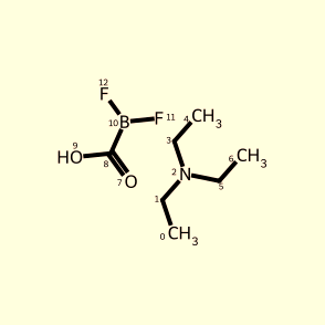 CCN(CC)CC.O=C(O)B(F)F